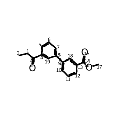 CCC(=O)c1cccc(-c2cccc(C(=O)OC)c2)c1